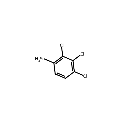 Clc1cc[c]([SnH3])c(Cl)c1Cl